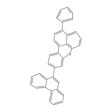 c1ccc(-c2ccc3c4c(cccc24)Oc2cc(-c4cc5ccccc5c5ccccc45)ccc2-3)cc1